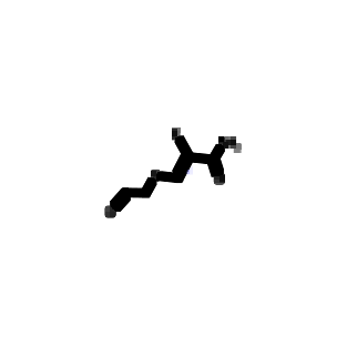 NC(=O)/C(F)=C/SC[C]=O